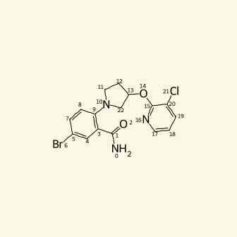 NC(=O)c1cc(Br)ccc1N1CCC(Oc2ncccc2Cl)C1